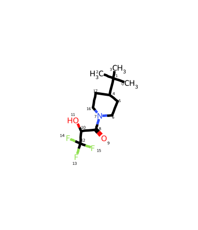 CC(C)(C)C1CCN(C(=O)C(O)C(F)(F)F)CC1